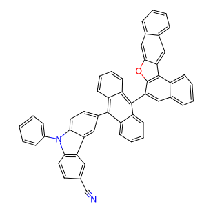 N#Cc1ccc2c(c1)c1cc(-c3c4ccccc4c(-c4cc5ccccc5c5c4oc4cc6ccccc6cc45)c4ccccc34)ccc1n2-c1ccccc1